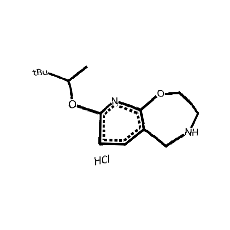 CC(Oc1ccc2c(n1)OCCNC2)C(C)(C)C.Cl